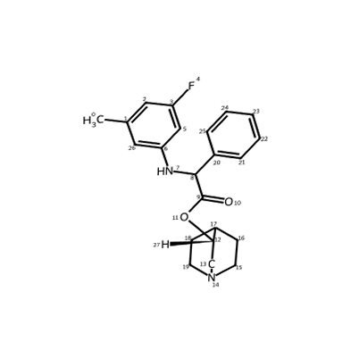 Cc1cc(F)cc(NC(C(=O)O[C@H]2CN3CCC2CC3)c2ccccc2)c1